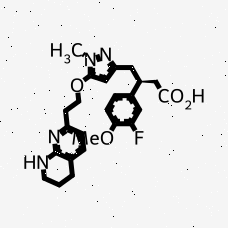 COc1ccc([C@H](CC(=O)O)Cc2cc(OCCc3ccc4c(n3)NCCC4)n(C)n2)cc1F